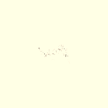 COCCn1cc(Nc2nccc(-c3ccc4c(c3)CCCCC4NC(=O)N3CC(OC(C)C)C3)n2)cn1